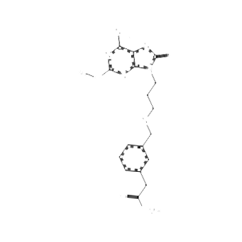 CCCCOc1nc(N)c2[nH]c(=O)n(CCCNCc3cccc(CC(=O)OC)c3)c2n1